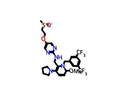 COC1C=CC(N2CCCC2)=C(CNc2ncc(OCC[S+](C)[O-])cn2)N1Cc1cc(C(F)(F)F)cc(C(F)(F)F)c1